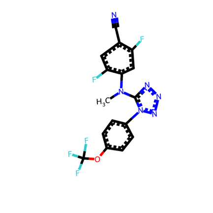 CN(c1cc(F)c(C#N)cc1F)c1nnnn1-c1ccc(OC(F)(F)F)cc1